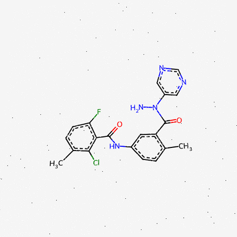 Cc1ccc(NC(=O)c2c(F)ccc(C)c2Cl)cc1C(=O)N(N)c1cncnc1